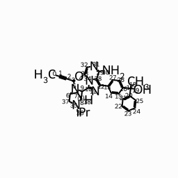 CC#CC(=O)N1C2C[C@@H](C1c1nc(-c3ccc(C(C)(O)c4ccccc4)cc3)c3c(N)nccn13)N(C(C)C)C2